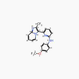 FC(F)(F)Oc1ccc(Nc2cccc(-c3c(C(F)(F)F)nc4ccccn34)n2)cc1